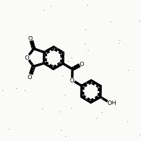 O=C(Oc1ccc(O)cc1)c1ccc2c(c1)C(=O)OC2=O